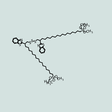 CO[Si](CCCCCCCCCCCCCCCCC(CSSSCC(CCCCCCCCCCCCCCCC[Si](OC)(OC)OC)c1nc2ccccc2s1)c1nc2ccccc2s1)(OC)OC